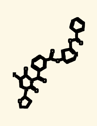 O=C(Oc1ccnc(OC(=O)c2ccccc2)c1)c1cccc(C(=O)n2c(=O)c(F)cn(C3CCCO3)c2=O)c1